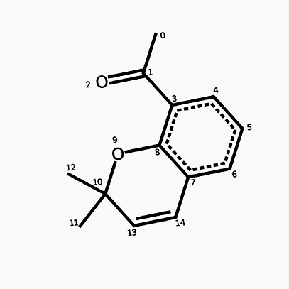 CC(=O)c1cccc2c1OC(C)(C)C=C2